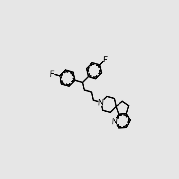 Fc1ccc(C(CCCN2CCC3(CCc4cccnc43)CC2)c2ccc(F)cc2)cc1